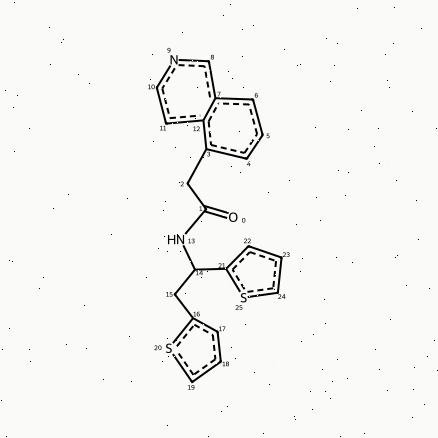 O=C(Cc1cccc2cnccc12)NC(Cc1cccs1)c1cccs1